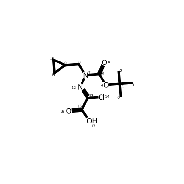 CC(C)(C)OC(=O)N(CC1CC1)N=C(Cl)C(=O)O